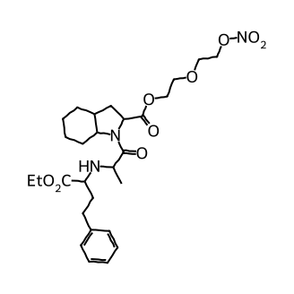 CCOC(=O)C(CCc1ccccc1)NC(C)C(=O)N1C(C(=O)OCCOCCO[N+](=O)[O-])CC2CCCCC21